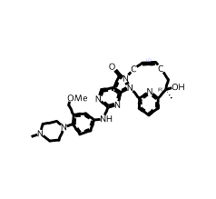 COCc1cc(Nc2ncc3c(=O)n4n(c3n2)-c2cccc(n2)[C@](C)(O)CC/C=C\C4)ccc1N1CCN(C)CC1